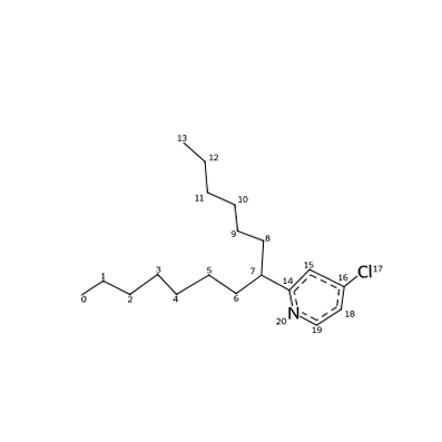 CCCCCCCC(CCCCCC)c1cc(Cl)ccn1